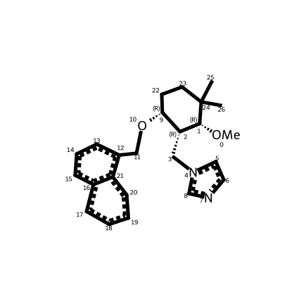 CO[C@@H]1[C@H](Cn2ccnc2)[C@H](OCc2cccc3ccccc23)CCC1(C)C